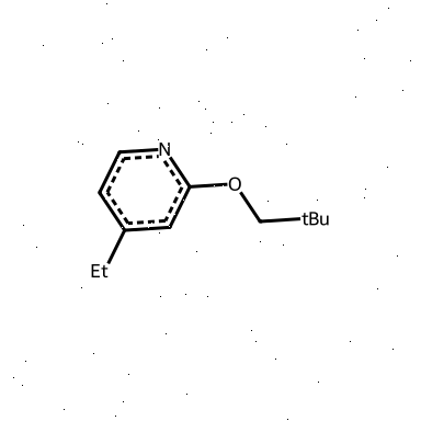 CCc1ccnc(OCC(C)(C)C)c1